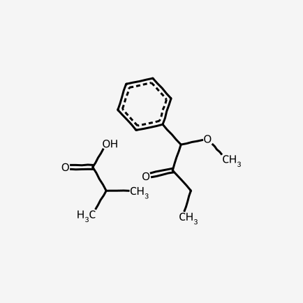 CC(C)C(=O)O.CCC(=O)C(OC)c1ccccc1